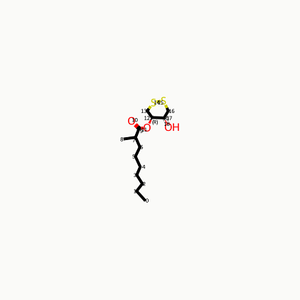 CCCCCCCC(C)C(=O)O[C@H]1CSSC[C@@H]1O